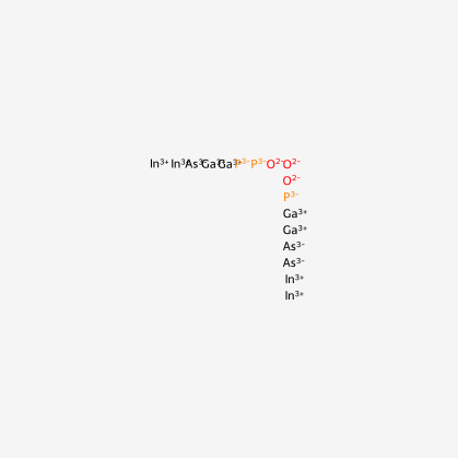 [As-3].[As-3].[As-3].[Ga+3].[Ga+3].[Ga+3].[Ga+3].[In+3].[In+3].[In+3].[In+3].[O-2].[O-2].[O-2].[P-3].[P-3].[P-3]